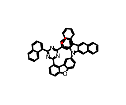 c1ccc(-c2nc(-c3cccc4ccccc34)nc(-c3cccc4oc5ccc(-n6c7cc8ccccc8cc7c7c8ccccc8ccc76)cc5c34)n2)cc1